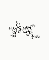 CCCCC(=O)Oc1ccc(C[C@H](N)C(=O)O[C@@H](C)C(C)OC(=O)CC(C)(C)C)cc1OC(=O)CCCC